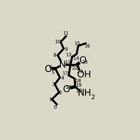 CCCCCC(=O)N(CCCC)C(CCCC)(CCC(N)=O)C(=O)O